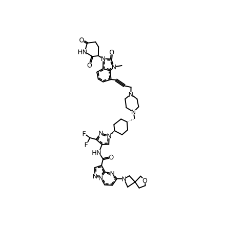 Cn1c(=O)n(C2CCC(=O)NC2=O)c2cccc(C#CCN3CCN(C[C@H]4CC[C@H](n5cc(NC(=O)c6cnn7ccc(N8CC9(CCOC9)C8)nc67)c(C(F)F)n5)CC4)CC3)c21